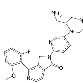 COc1cccc(F)c1-c1nccc2c1CN(c1ccc(N3CCNCC3CN)cn1)C2=O